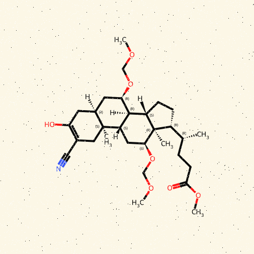 COCO[C@H]1C[C@H]2[C@@H]([C@H](OCOC)C[C@@H]3CC(O)=C(C#N)C[C@@]32C)[C@@H]2CC[C@H]([C@H](C)CCC(=O)OC)[C@@]12C